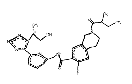 C[C@H](CO)n1nnnc1-c1cccc(NC(=O)c2cc3c(cc2F)CCN(C(=O)N(C)CC(F)(F)F)C3)n1